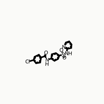 O=C(Nc1ccc(S(=O)(=O)Nc2ccccn2)cc1)c1ccc(Cl)cc1